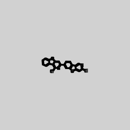 Clc1cc2oc3cc(-c4cc5oc6ccccc6c5c(Cl)n4)ccc3c2cn1